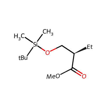 CC[C@H](CO[Si](C)(C)C(C)(C)C)C(=O)OC